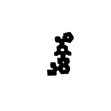 CC1CN(C(=O)N2CCCC2)CC(C)N1c1nc2c(C(=O)O)cccc2o1